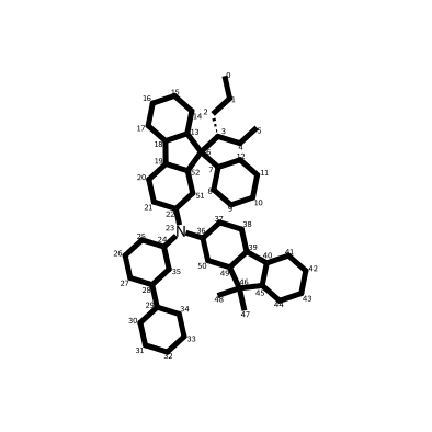 CCC[C@H](CC)C1(C2CCCCC2)C2CCCCC2C2CCC(N(C3CCCC(C4CCCCC4)C3)C3CCC4C5CCCCC5C(C)(C)C4C3)CC21